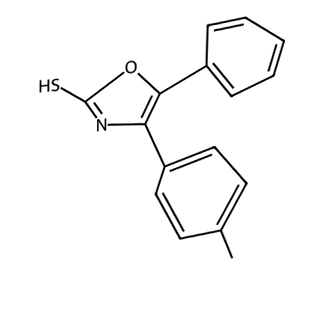 Cc1ccc(-c2nc(S)oc2-c2ccccc2)cc1